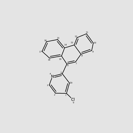 Clc1ccnc(-c2cc3ccccc3c3ccccc23)c1